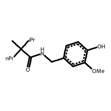 CCCC(C)(C(=O)NCc1ccc(O)c(OC)c1)C(C)C